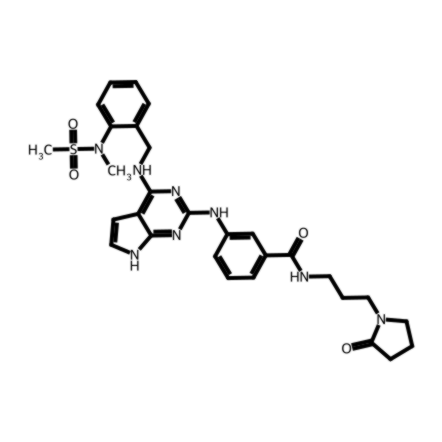 CN(c1ccccc1CNc1nc(Nc2cccc(C(=O)NCCCN3CCCC3=O)c2)nc2[nH]ccc12)S(C)(=O)=O